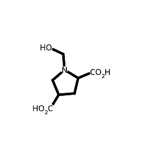 O=C(O)C1CC(C(=O)O)N(CO)C1